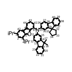 CC(C)c1cc(C(C)C)c2oc3c(N(c4ccc5c(c4)C(C)(C)c4ccccc4-5)c4ccc5c(c4)C4(CCCC4)c4ccccc4-5)cccc3c2c1